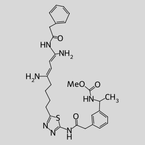 COC(=O)NC(C)c1cccc(CC(=O)Nc2nnc(CCCC/C(N)=C/C=C(\N)NC(=O)Cc3ccccc3)s2)c1